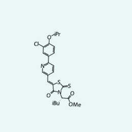 CCC(C)[C@@H](C(=O)OC)N1C(=O)/C(=C/c2ccc(-c3ccc(OC(C)C)c(Cl)c3)nc2)SC1=S